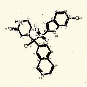 O=C1CN(C(Cl)(c2ccc3ccncc3c2)S(=O)(=O)c2cc3ccc(Cl)cc3s2)CCN1